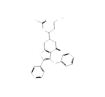 COCCC(OC(N)=O)C1CC(=O)c2c([nH]c(-c3ccncc3)c2Nc2ccccc2)C1